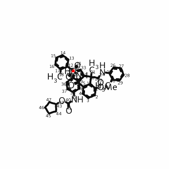 COc1cccc(C(=O)NS(=O)(=O)c2ccccc2C)c1C(C)(C(=O)Nc1ccccc1C)c1c[nH]c2ccc(NC(=O)OC3CCCC3)cc12